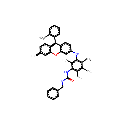 C=c1ccc2c(c1)Oc1cc(Nc3c(C)c(NC(=O)NCc4ccccc4)c(C)c(S(=O)(=O)O)c3C)ccc1C=2c1ccccc1S(=O)(=O)O